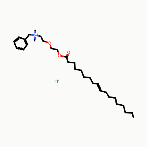 CCCCCCCCC=CCCCCCCCC(=O)OCCOCC[N+](C)(C)Cc1ccccc1.[Cl-]